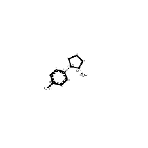 O[C@H]1CCC[C@H]1c1ccc(Cl)cc1